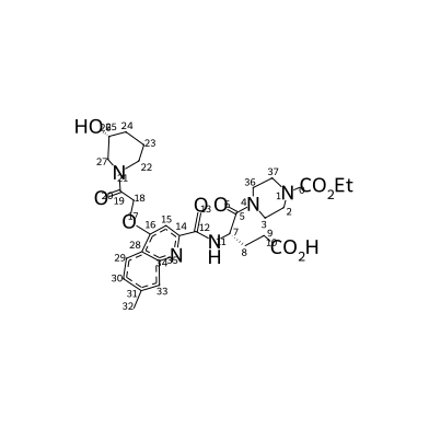 CCOC(=O)N1CCN(C(=O)[C@H](CCC(=O)O)NC(=O)c2cc(OCC(=O)N3CCC[C@@H](O)C3)c3ccc(C)cc3n2)CC1